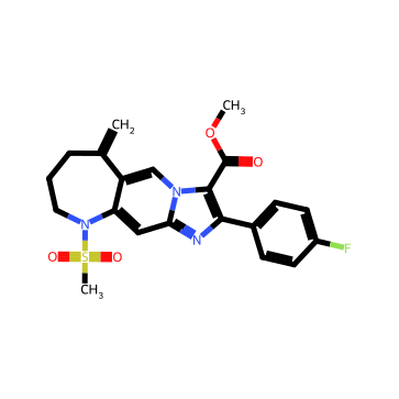 C=C1CCCN(S(C)(=O)=O)c2cc3nc(-c4ccc(F)cc4)c(C(=O)OC)n3cc21